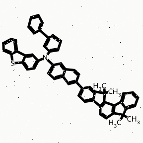 CC1(C)c2ccccc2-c2c1ccc1c2C(C)(C)c2cc(-c3ccc4cc(N(c5cccc(-c6ccccc6)c5)c5ccc6sc7ccccc7c6c5)ccc4c3)ccc2-1